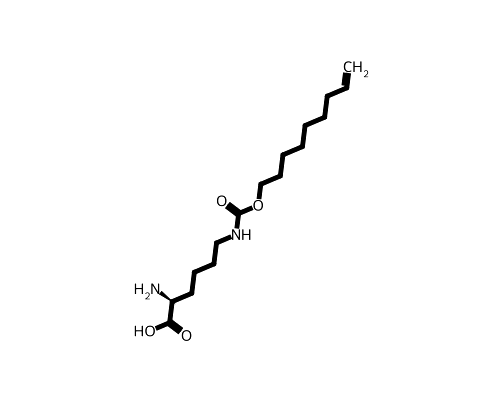 C=CCCCCCCCOC(=O)NCCCC[C@H](N)C(=O)O